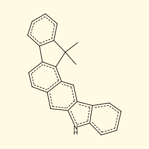 CC1(C)c2ccccc2-c2ccc3cc4[nH]c5ccccc5c4cc3c21